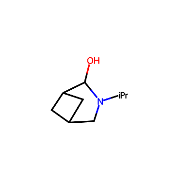 CC(C)N1CC2CC(C2)C1O